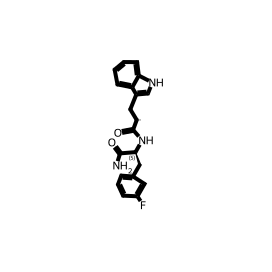 NC(=O)[C@H](Cc1cccc(F)c1)NC(=O)[CH]Cc1c[nH]c2ccccc12